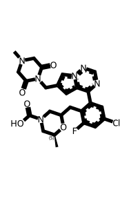 C[C@H]1CN(C(=O)O)CC(Cc2c(F)cc(Cl)cc2-c2ncnn3cc(CN4C(=O)CN(C)CC4=O)cc23)O1